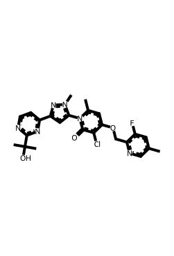 Cc1cnc(COc2cc(C)n(-c3cc(-c4ccnc(C(C)(C)O)n4)nn3C)c(=O)c2Cl)c(F)c1